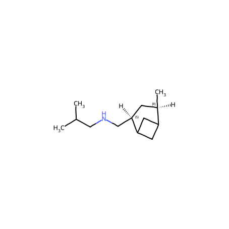 CC(C)CNC[C@H]1C[C@@H](C)C2CC1C2